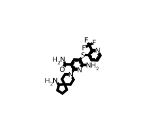 NC(=O)c1cc(Sc2cccnc2C(F)(F)F)c(N)nc1N1CCC2(CCCC2N)CC1